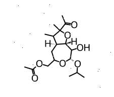 CC(=O)OCC1C[C@H]2C(C)C(C)(C(C)=O)O[C@@H]2C(O)[C@H](OC(C)C)O1